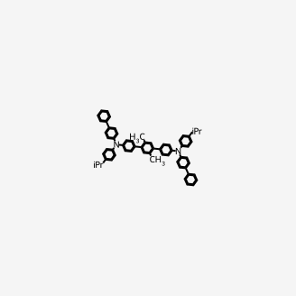 Cc1cc(-c2ccc(N(c3ccc(-c4ccccc4)cc3)c3ccc(C(C)C)cc3)cc2)c(C)cc1-c1ccc(N(c2ccc(-c3ccccc3)cc2)c2ccc(C(C)C)cc2)cc1